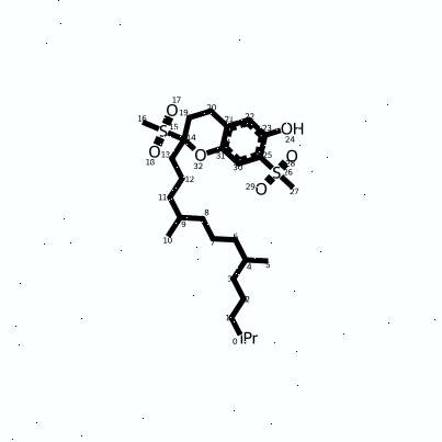 CC(C)CCCC(C)CCCC(C)CCCC1(S(C)(=O)=O)CCc2cc(O)c(S(C)(=O)=O)cc2O1